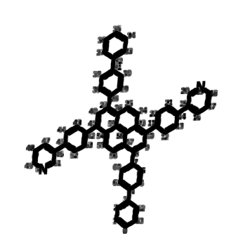 c1ccc(-c2ccc(-c3cc(-c4ccc(-c5cccnc5)cc4)c4ccc5c(-c6ccc(-c7ccccc7)cc6)cc(-c6ccc(-c7cccnc7)cc6)c6ccc3c4c56)cc2)cc1